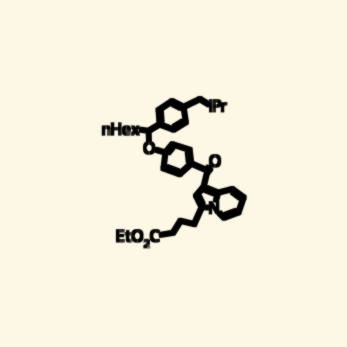 CCCCCCC(Oc1ccc(C(=O)c2cc(CCCC(=O)OCC)n3ccccc23)cc1)c1ccc(CC(C)C)cc1